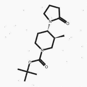 C[C@H]1CN(C(=O)OC(C)(C)C)CC[C@@H]1N1CCCC1=O